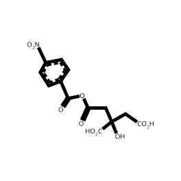 O=C(O)CC(O)(CC(=O)OC(=O)c1ccc([N+](=O)[O-])cc1)C(=O)O